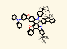 CC(C)(C)c1ccc(N2B3c4cc5c(cc4-n4c6ccc(C(C)(C)C)cc6c6c7c(oc8ccccc87)c(c3c64)-c3cc4c(cc32)oc2ccc(N(c3ccccc3)c3ccccc3)cc24)-c2ccccc2C5(C)C)cc1